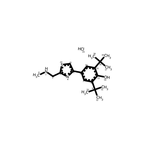 CNCc1nc(-c2cc(C(C)(C)C)c(O)c(C(C)(C)C)c2)cs1.Cl